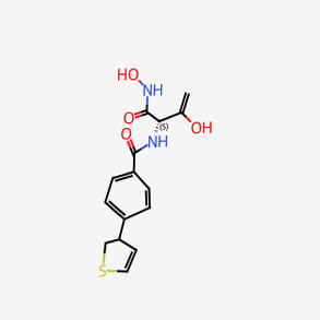 C=C(O)[C@H](NC(=O)c1ccc(C2C=CSC2)cc1)C(=O)NO